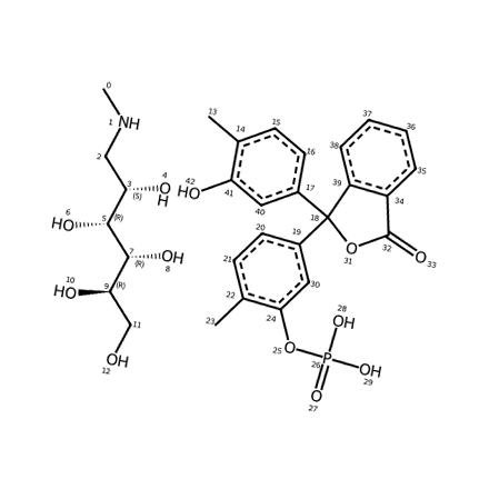 CNC[C@H](O)[C@@H](O)[C@H](O)[C@H](O)CO.Cc1ccc(C2(c3ccc(C)c(OP(=O)(O)O)c3)OC(=O)c3ccccc32)cc1O